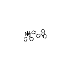 c1cc(-c2cccc(-n3c4ccccc4c4ccccc43)c2)cc(-c2nnc3c4ccccc4c4ccccc4n23)c1